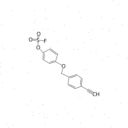 C#Cc1ccc(COc2ccc(OS(=O)(=O)F)cc2)cc1